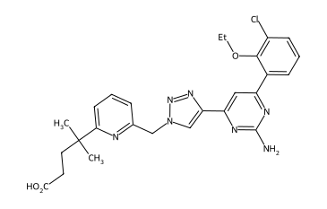 CCOc1c(Cl)cccc1-c1cc(-c2cn(Cc3cccc(C(C)(C)CCC(=O)O)n3)nn2)nc(N)n1